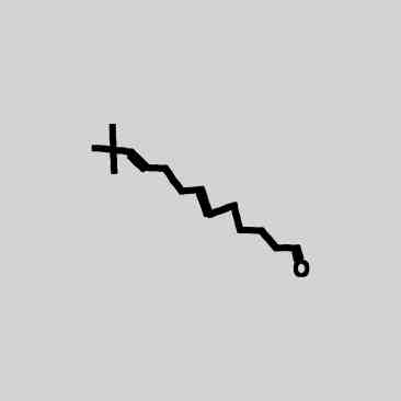 CC(C)(C)C=CCCC=CCCCCC=O